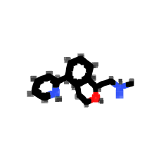 CNCC1OCCc2c(-c3ccccn3)cccc21